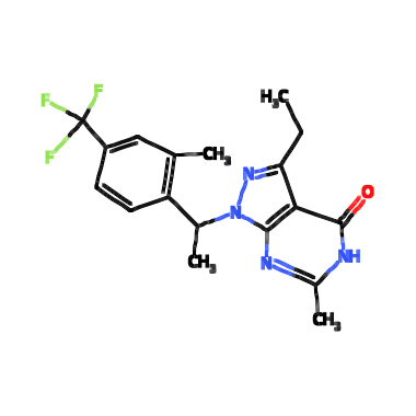 CCc1nn(C(C)c2ccc(C(F)(F)F)cc2C)c2nc(C)[nH]c(=O)c12